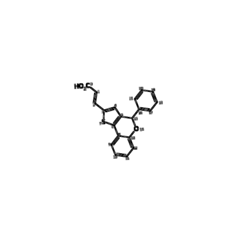 O=C(O)C=Cc1cc2c(s1)-c1ccccc1OC2c1ccccc1